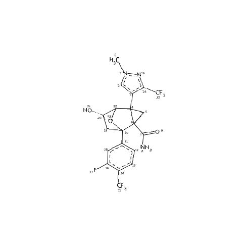 Cn1cc(C23CC2(C(N)=O)C2(c4ccc(C(F)(F)F)c(F)c4)CC(O)C3O2)c(C(F)(F)F)n1